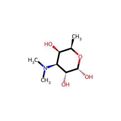 C[C@H]1O[C@H](O)[C@H](O)[C@@H](N(C)C)[C@H]1O